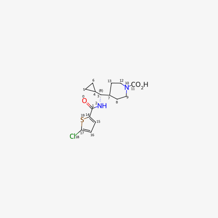 O=C(N[C@H](C1CC1)C1CCN(C(=O)O)CC1)c1ccc(Cl)s1